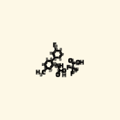 Cc1ccc(-c2cccc(F)c2)c(NC(=O)O)c1.O=C(O)C(F)(F)F